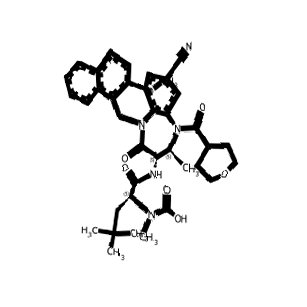 COc1ccc2ccccc2c1CN1C(=O)[C@@H](NC(=O)[C@H](CC(C)(C)C)N(C)C(=O)O)[C@H](C)N(C(=O)C2CCOCC2)c2cc(C#N)ccc21